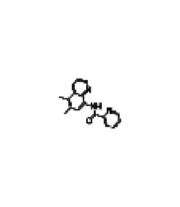 Cc1cc(NC(=O)c2ccccn2)c2ncccc2c1C